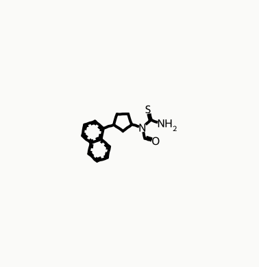 NC(=S)N(C=O)C1CCC(c2cccc3ccccc23)C1